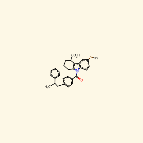 CC(C)Sc1ccc2c(c1)c1c(n2C(=O)c2ccc(CC(C)c3ccccc3)cc2)CCCC1C(=O)O